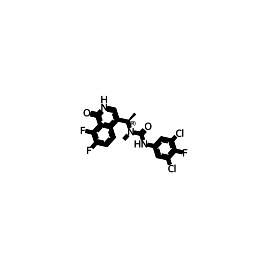 C[C@H](c1c[nH]c(=O)c2c(F)c(F)ccc12)N(C)C(=O)Nc1cc(Cl)c(F)c(Cl)c1